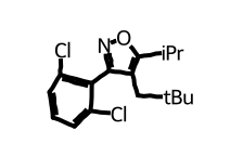 CC(C)c1onc(-c2c(Cl)cccc2Cl)c1CC(C)(C)C